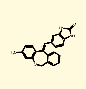 Cc1ccc2c(c1)OCc1ccccc1/C2=C\c1ccc2[nH]c(=O)[nH]c2c1